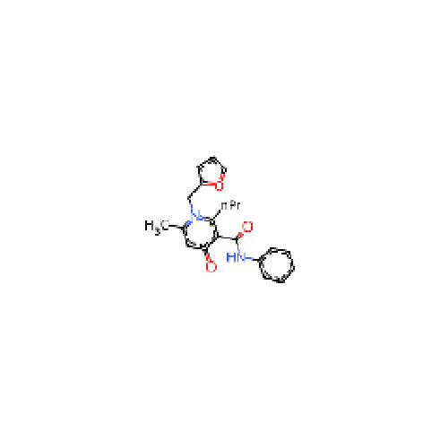 CCCc1c(C(=O)Nc2ccccc2)c(=O)cc(C)n1Cc1ccco1